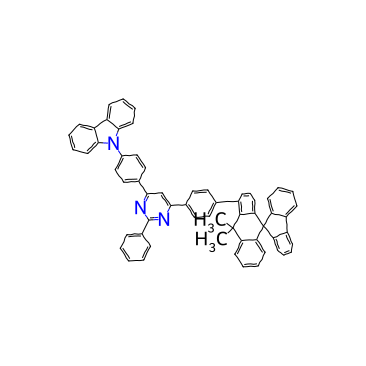 CC1(C)c2ccccc2C2(c3ccccc3-c3ccccc32)c2cccc(-c3ccc(-c4cc(-c5ccc(-n6c7ccccc7c7ccccc76)cc5)nc(-c5ccccc5)n4)cc3)c21